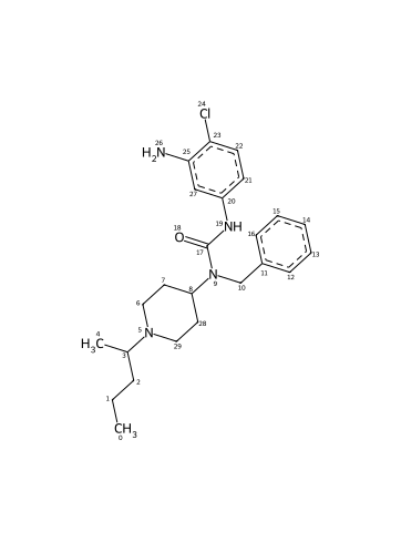 CCCC(C)N1CCC(N(Cc2ccccc2)C(=O)Nc2ccc(Cl)c(N)c2)CC1